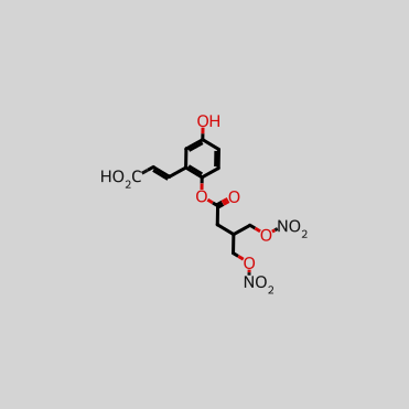 O=C(O)C=Cc1cc(O)ccc1OC(=O)CC(CO[N+](=O)[O-])CO[N+](=O)[O-]